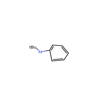 CC(C)(C)[N]c1ccccc1